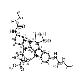 CCNC(=O)Nc1ccc2c(c1)c1c3c(c4c5cc(NC(=O)NCC)ccc5n5c4c1n2C1C[C@](O)(C(=O)OC)C5(C)O1)CNC3=O